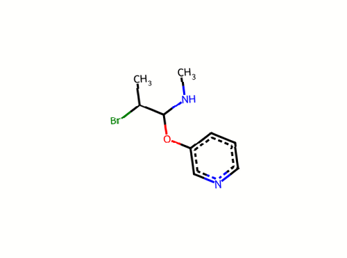 CNC(Oc1cccnc1)C(C)Br